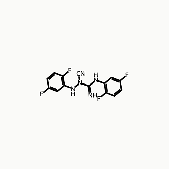 N#CN(Nc1cc(F)ccc1F)C(=N)Nc1cc(F)ccc1F